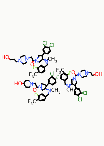 CN(Cc1ccc(C(F)(F)F)c(F)c1)C1CN(C(=O)CN2CCC(O)CC2)CC1c1ccc(Cl)c(Cl)c1.CN(Cc1ccc(C(F)(F)F)c(F)c1)C1CN(C(=O)CN2CCN(CCCO)CC2)CC1c1ccc(Cl)c(Cl)c1.CN(Cc1ccc(C(F)(F)F)c(F)c1)C1CN(C(=O)N2CCN(CCO)CC2)CC1c1ccc(Cl)c(Cl)c1